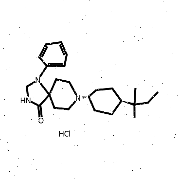 CCC(C)(C)[C@H]1CC[C@H](N2CCC3(CC2)C(=O)NCN3c2ccccc2)CC1.Cl